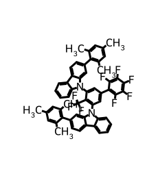 Cc1cc(C)c(-c2ccc3c4ccccc4n(-c4cc(-c5c(F)c(F)c(F)c(F)c5F)cc(-n5c6ccccc6c6ccc(-c7c(C)cc(C)cc7C)cc65)c4C(F)(F)F)c3c2)c(C)c1